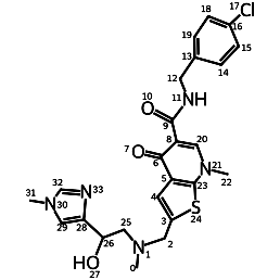 CN(Cc1cc2c(=O)c(C(=O)NCc3ccc(Cl)cc3)cn(C)c2s1)CC(O)c1cn(C)cn1